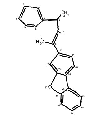 C/C(=N\C(C)c1ccccc1)c1ccc2c(c1)oc1ccccc12